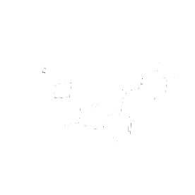 CC(=O)Oc1cc2ncnc(Nc3ccc(Cl)c(Cl)c3F)c2cc1C1CN(C(=O)OC(C)(C)C)C1